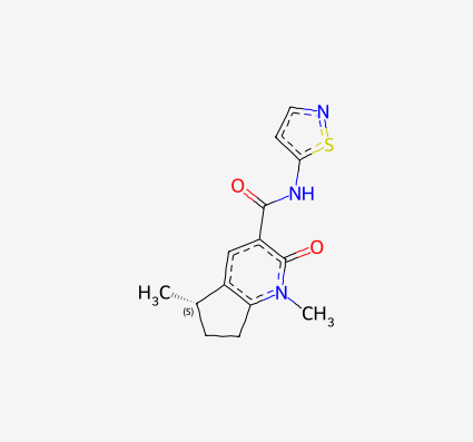 C[C@H]1CCc2c1cc(C(=O)Nc1ccns1)c(=O)n2C